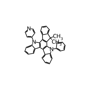 CC1(C)c2ccccc2-c2c1c1c(c3ccccc3n1-c1ccccc1)c1c3ccccc3n(-c3ccncc3)c21